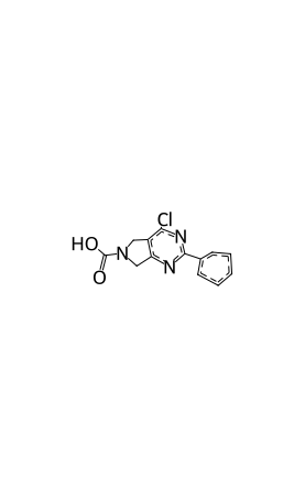 O=C(O)N1Cc2nc(-c3ccccc3)nc(Cl)c2C1